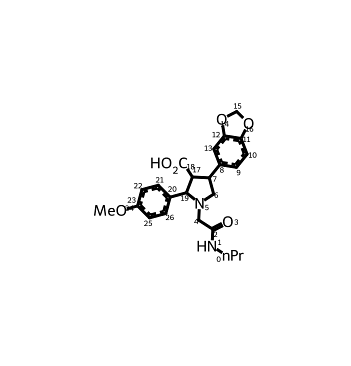 CCCNC(=O)CN1CC(c2ccc3c(c2)OCO3)C(C(=O)O)C1c1ccc(OC)cc1